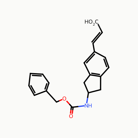 O=C(O)C=Cc1ccc2c(c1)CC(NC(=O)OCc1ccccc1)C2